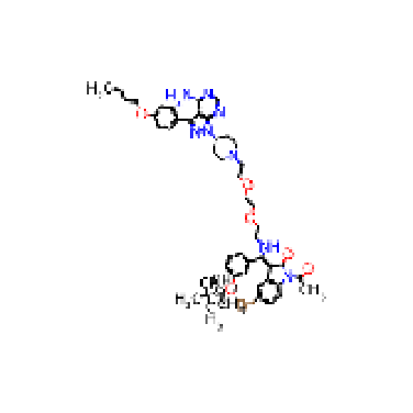 C=C/C=C/Oc1ccc(-c2nn(C3CCN(CCOCCOCCN/C(=C4\C(=O)N(C(C)=O)c5ccc(Br)cc54)c4cccc(O[Si](C)(C)C(C)(C)C)c4)CC3)c3ncnc(N)c23)cc1